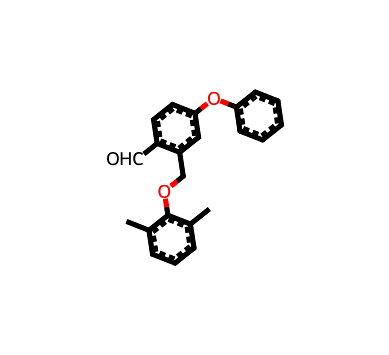 Cc1cccc(C)c1OCc1cc(Oc2ccccc2)ccc1C=O